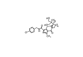 Cn1nc(C(=O)NCc2ccc(Cl)cc2)c2c1C(=O)N(CC1(S(=O)(=O)C(C)(CO)CO)CC1)CC2